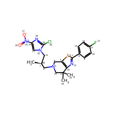 C[C@H](CN1Cc2sc(-c3ccc(F)cc3)nc2C(C)(C)C1)Cn1cc([N+](=O)[O-])nc1Cl